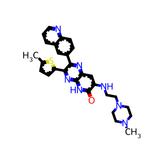 Cc1ccc(-c2nc3[nH]c(=O)c(NCCN4CCN(C)CC4)cc3nc2-c2ccc3ncccc3c2)s1